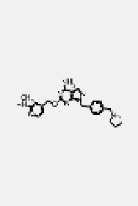 CNc1cc(COc2nc(N)c3cnn(Cc4ccc(CN5CCCC5)cc4)c3n2)ccn1